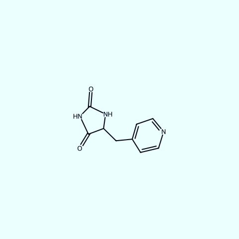 O=C1NC(=O)C(Cc2ccncc2)N1